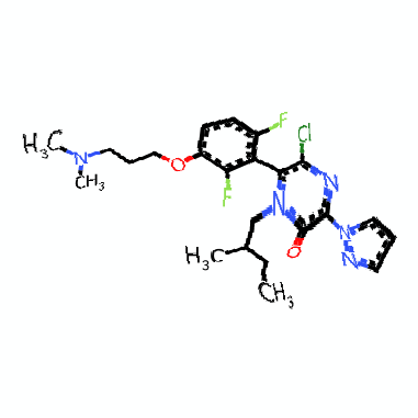 CCC(C)Cn1c(-c2c(F)ccc(OCCCN(C)C)c2F)c(Cl)nc(-n2cccn2)c1=O